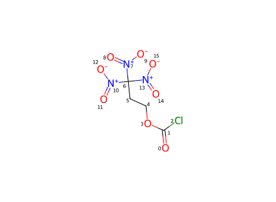 O=C(Cl)OCCC([N+](=O)[O-])([N+](=O)[O-])[N+](=O)[O-]